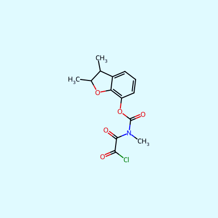 CC1Oc2c(OC(=O)N(C)C(=O)C(=O)Cl)cccc2C1C